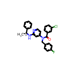 C[C@H](Nc1cc(N(Cc2ccc(F)cc2)C(=O)c2cccc(Cl)c2)ccn1)c1ccccc1